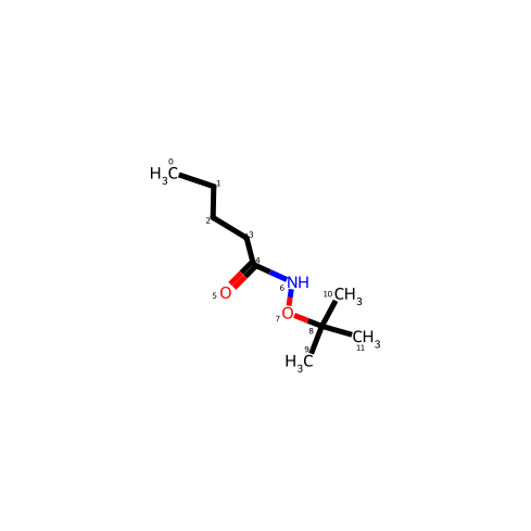 CCC[CH]C(=O)NOC(C)(C)C